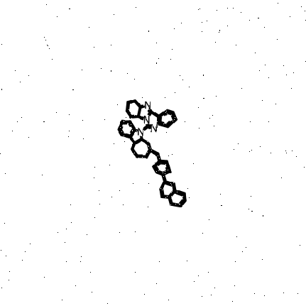 C1=CCC2C=CC(c3ccc(CC4CCCC5c6ccccc6N(C6=Nc7ccccc7C7=NC8CCCCC8N76)C5C4)cc3)=CC2=C1